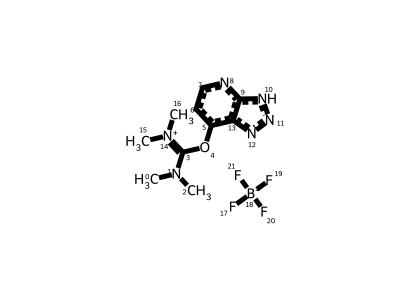 CN(C)C(Oc1ccnc2[nH]nnc12)=[N+](C)C.F[B-](F)(F)F